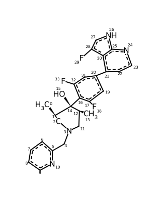 C[C@@H]1CN(Cc2ccccn2)C[C@H](C)[C@@]1(O)c1c(F)cc(-c2ccnc3[nH]cc(F)c23)cc1F